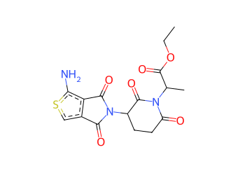 CCOC(=O)C(C)N1C(=O)CCC(N2C(=O)c3csc(N)c3C2=O)C1=O